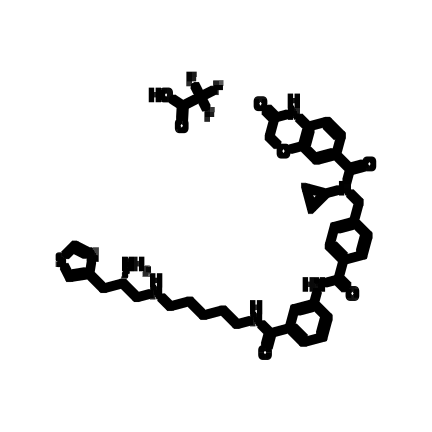 N[C@H](CNCCCCCNC(=O)c1cccc(NC(=O)c2ccc(CN(C(=O)c3ccc4c(c3)OCC(=O)N4)C3CC3)cc2)c1)Cc1cscn1.O=C(O)C(F)(F)F